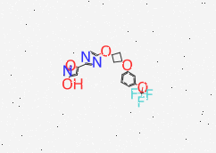 Oc1cc(-c2cnc(OC3CC(Oc4cccc(OC(F)(F)F)c4)C3)cn2)on1